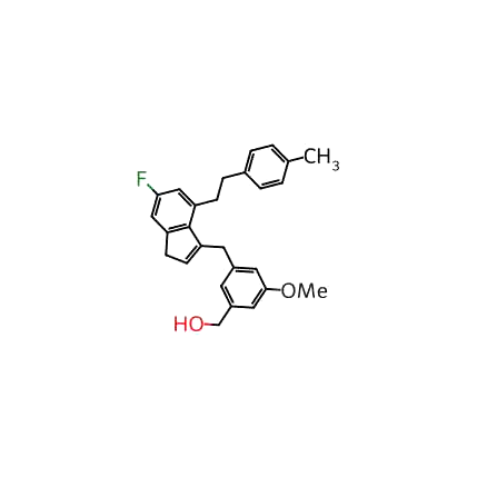 COc1cc(CO)cc(CC2=CCc3cc(F)cc(CCc4ccc(C)cc4)c32)c1